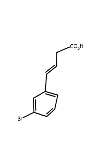 O=C(O)C/C=C/c1cccc(Br)c1